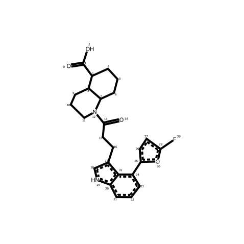 O=C(O)C1CCCC2C1CCCN2C(=O)CCc1c[nH]c2cccc(-c3ccc(F)o3)c12